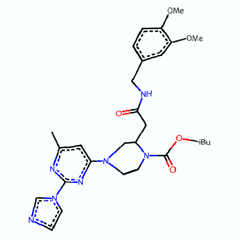 CCC(C)OC(=O)N1CCN(c2cc(C)nc(-n3ccnc3)n2)CC1CC(=O)NCc1ccc(OC)c(OC)c1